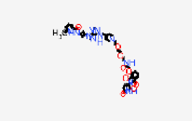 Cc1cccc(C(=O)NC2CC(n3cnc4c(NCC5CCN(CCOCCOCCNC(=O)COc6cccc7c6C(=O)N([C@@H]6CCC(=O)NC6=O)C7=O)CC5)ncnc43)C2)n1